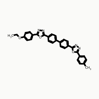 CCOc1ccc(-c2nnc(-c3ccc(-c4ccc(-c5nnc(-c6ccc(C)cc6)o5)cc4)cc3)o2)cc1